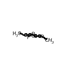 CCCCCOc1ccc(-c2ccc(OC(=O)c3ccc(C4CCC(CCCCC)CC4)c(F)c3)cc2)cc1